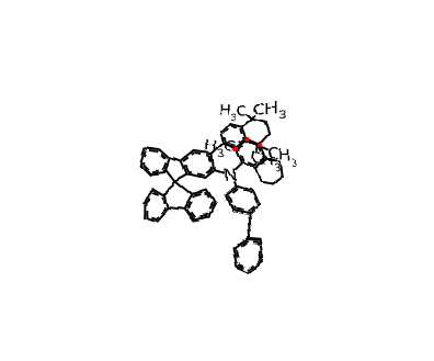 Cc1ccc2c(c1N(c1ccc(-c3ccccc3)cc1)c1cc3c(cc1-c1ccc4c(c1)C(C)(C)CCC4(C)C)-c1ccccc1C31c3ccccc3-c3ccccc31)CCCC2